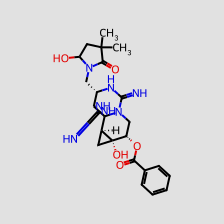 CC1(C)CC(O)N(C[C@@H]2NC(=N)N3C[C@H](OC(=O)c4ccccc4)[C@@]4(O)C[C@H]4C34NC(=N)NC24)C1=O